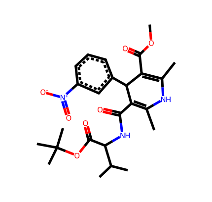 COC(=O)C1=C(C)NC(C)=C(C(=O)NC(C(=O)OC(C)(C)C)C(C)C)C1c1cccc([N+](=O)[O-])c1